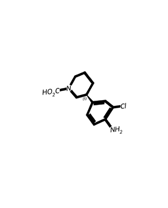 Nc1ccc([C@@H]2CCCN(C(=O)O)C2)cc1Cl